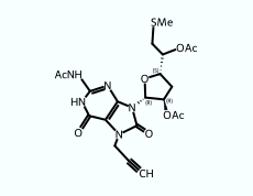 C#CCn1c(=O)n([C@@H]2O[C@H](C(CSC)OC(C)=O)C[C@H]2OC(C)=O)c2nc(NC(C)=O)[nH]c(=O)c21